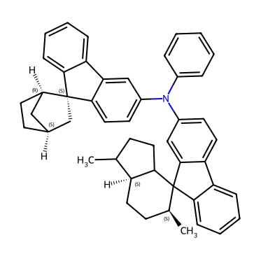 CC1CCC2[C@H]1CC[C@H](C)C21c2ccccc2-c2ccc(N(c3ccccc3)c3ccc4c(c3)-c3ccccc3[C@@]43C[C@H]4CC[C@@H]3C4)cc21